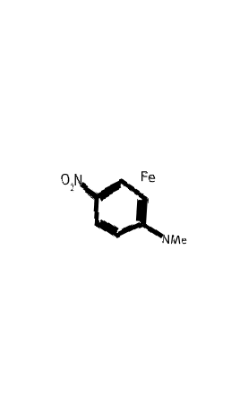 CNc1ccc([N+](=O)[O-])cc1.[Fe]